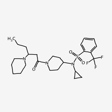 CCCC(CC(=O)N1CCC(N(C2CC2)S(=O)(=O)c2ccccc2C(F)(F)F)CC1)N1CCCCC1